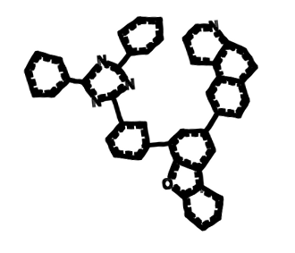 c1ccc(-c2nc(-c3ccccc3)nc(-c3cccc(-c4cc(-c5ccc6ccc7ncccc7c6c5)cc5c4oc4ccccc45)c3)n2)cc1